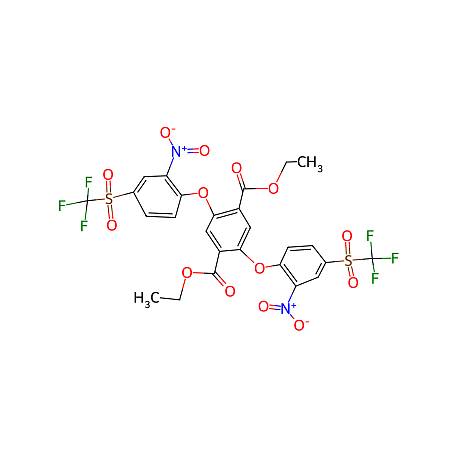 CCOC(=O)c1cc(Oc2ccc(S(=O)(=O)C(F)(F)F)cc2[N+](=O)[O-])c(C(=O)OCC)cc1Oc1ccc(S(=O)(=O)C(F)(F)F)cc1[N+](=O)[O-]